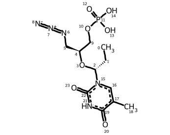 CC[C@@H](O[C@@H](CN=[N+]=[N-])COP(=O)(O)O)n1cc(C)c(=O)[nH]c1=O